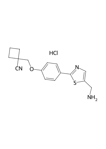 Cl.N#CC1(COc2ccc(-c3ncc(CN)s3)cc2)CCC1